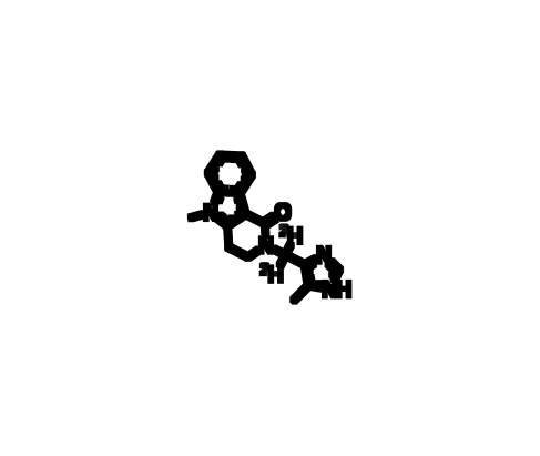 [2H]C([2H])(c1nc[nH]c1C)N1CCc2c(c3ccccc3n2C)C1=O